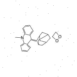 C1COO1.CN1c2ccccc2C(=C2C3CC4CC(C3)CC2C4)c2ccccc21